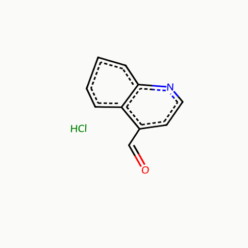 Cl.O=Cc1ccnc2ccccc12